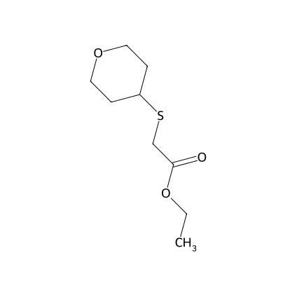 CCOC(=O)CSC1CCOCC1